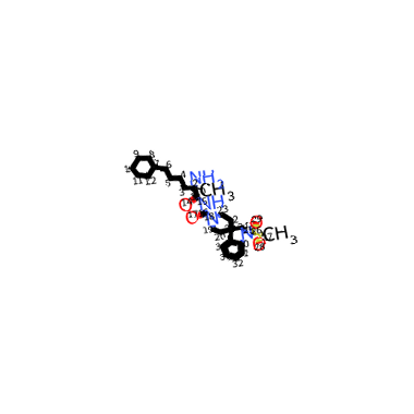 C[C@@](N)(CCCCC1CCCCC1)C(=O)NC(=O)N1CCC2(CC1)CN(S(C)(=O)=O)c1ccccc12